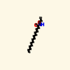 CCCCCCCCCCCCCCCC(=O)NOCC